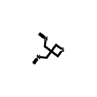 C=NCC1(CN=C)CSC1